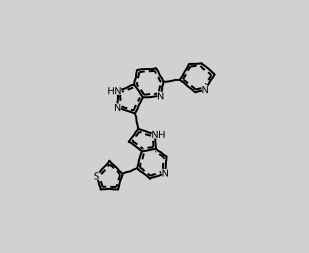 c1cncc(-c2ccc3[nH]nc(-c4cc5c(-c6ccsc6)cncc5[nH]4)c3n2)c1